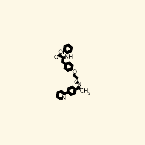 CC(=NOCCOc1ccc(CC(Nc2ccccc2)C(=O)O)cc1)c1ccc(-c2ccccn2)cc1